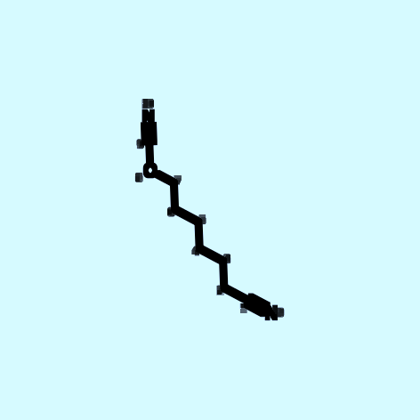 N#CCCCCCCOC#N